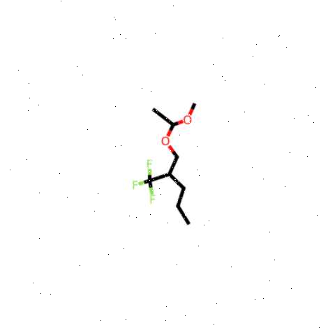 CCCC(COC(C)OC)C(F)(F)F